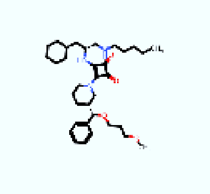 CCCCCNC[C@H](CC1CCCCC1)Nc1c(N2CCC[C@@H](C(OCCCOC)c3ccccc3)C2)c(=O)c1=O